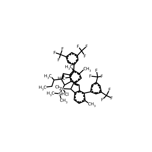 CCC(C)C1=Cc2c(ccc(C)c2-c2cc(C(F)(F)F)cc(C(F)(F)F)c2)[CH]1[Zr]([Cl])([Cl])([CH]1C(C(C)CC)=Cc2c1ccc(C)c2-c1cc(C(F)(F)F)cc(C(F)(F)F)c1)[SiH](C)C